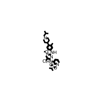 COc1cc(C2CCN(C[C](C)C)CC2)c(C)cc1Nc1ncc(Cl)c(Nc2cccnc2S(=O)(=O)C(C)C)n1